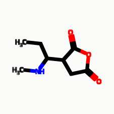 CCC(NC)C1CC(=O)OC1=O